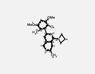 COc1cc(OC)c(Cl)c(-c2cc3cnc(C)cc3c(N3CCC3)n2)c1C